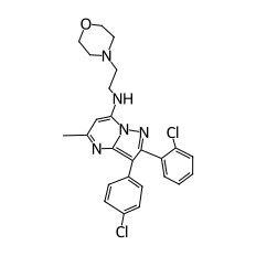 Cc1cc(NCCN2CCOCC2)n2nc(-c3ccccc3Cl)c(-c3ccc(Cl)cc3)c2n1